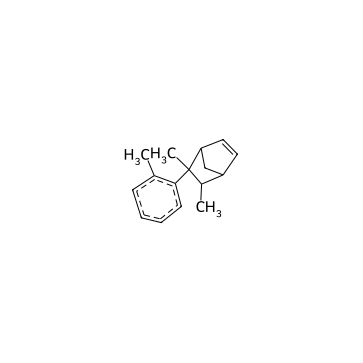 Cc1ccccc1C1(C)C2C=CC(C2)C1C